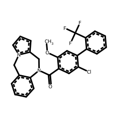 COc1cc(-c2ccccc2C(F)(F)F)c(Cl)cc1C(=O)N1Cc2cccn2Cc2ccccc21